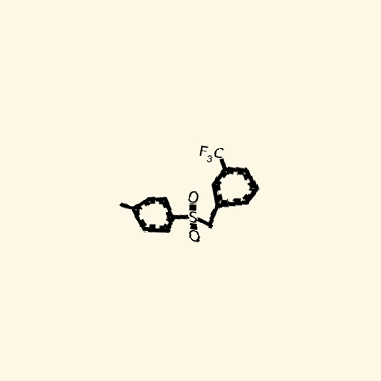 Cc1ccc(S(=O)(=O)Cc2cccc(C(F)(F)F)c2)cc1